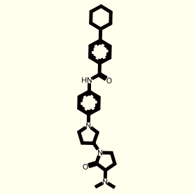 CN(C)C1CCN(C2CCN(c3ccc(NC(=O)c4ccc(C5CCCCC5)cc4)cc3)C2)C1=O